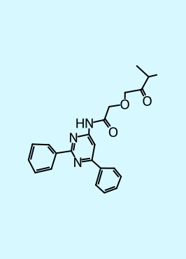 CC(C)C(=O)COCC(=O)Nc1cc(-c2ccccc2)nc(-c2ccccc2)n1